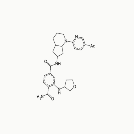 CC(=O)c1ccc(N2CCCC3CC(NC(=O)c4ccc(C(N)=O)c(NC5CCOC5)c4)CC32)nc1